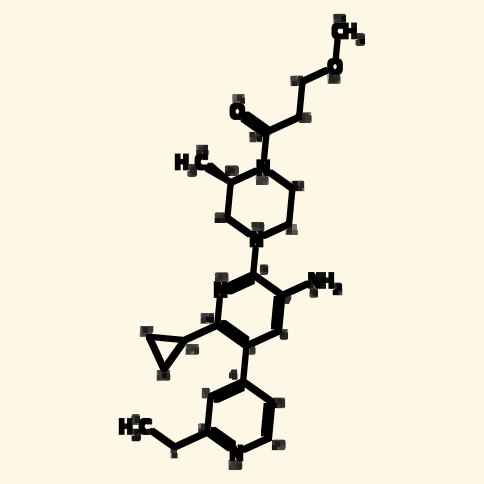 CCc1cc(-c2cc(N)c(N3CCN(C(=O)CCOC)[C@H](C)C3)nc2C2CC2)ccn1